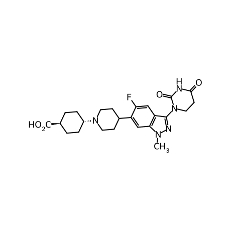 Cn1nc(N2CCC(=O)NC2=O)c2cc(F)c(C3CCN([C@H]4CC[C@H](C(=O)O)CC4)CC3)cc21